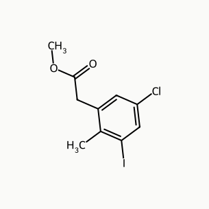 COC(=O)Cc1cc(Cl)cc(I)c1C